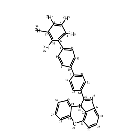 [2H]c1c([2H])c([2H])c(-c2ccc(-c3ccc(-c4nc5cccc6c5n4-c4ccccc4O6)cc3)cc2)c([2H])c1[2H]